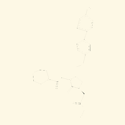 CC(C)(C)OC(=O)C[C@@H]1C[C@@H](COc2ccc(-c3ccc(C#N)cc3)cc2)N(CC(=O)N2CCOCC2)C1=O